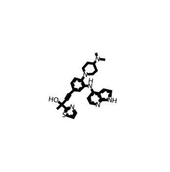 CN(C)C1CCN(c2ccc(C#CC(C)(O)c3nccs3)cc2Nc2ccnc3[nH]ccc23)CC1